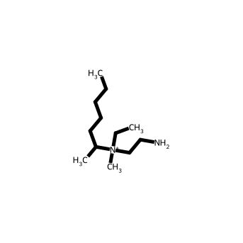 CCCCCC(C)[N+](C)(CC)CCN